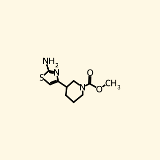 COC(=O)N1CCCC(c2csc(N)n2)C1